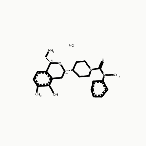 Cc1ccc2c(c1O)C[C@@H](C1CCN(C(=O)N(C)c3ccccc3)CC1)O[C@H]2CN.Cl